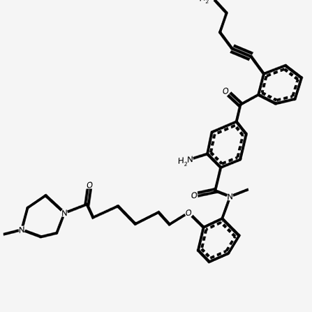 CN1CCN(C(=O)CCCCCOc2ccccc2N(C)C(=O)c2ccc(C(=O)c3ccccc3C#CCCN)cc2N)CC1